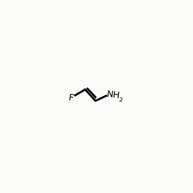 N/C=C/F